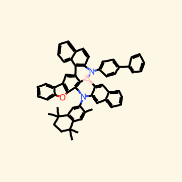 Cc1cc2c(cc1N1c3cc4ccccc4cc3B3c4c(cc5c(oc6ccccc65)c41)-c1c(ccc4ccccc14)N3c1ccc(-c3ccccc3)cc1)C(C)(C)CCC2(C)C